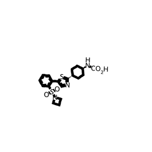 O=C(O)N[C@H]1CC[C@H](c2ncc(-c3ccccc3S(=O)(=O)N3CCC3)s2)CC1